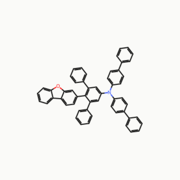 c1ccc(-c2ccc(N(c3ccc(-c4ccccc4)cc3)c3cc(-c4ccccc4)c(-c4ccc5c(c4)oc4ccccc45)c(-c4ccccc4)c3)cc2)cc1